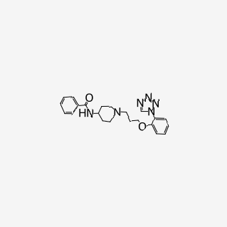 O=C(NC1CCN(CCCOc2ccccc2-n2cnnn2)CC1)c1ccccc1